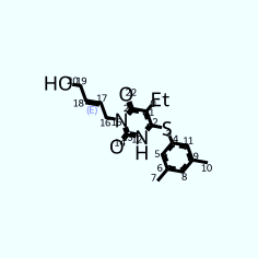 CCc1c(Sc2cc(C)cc(C)c2)[nH]c(=O)n(C/C=C/CO)c1=O